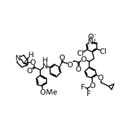 COc1ccc(C(Nc2cccc(C(=O)OCC(=O)OC(Cc3c(Cl)c[n+]([O-])cc3Cl)c3ccc(OC(F)F)c(OCC4CC4)c3)c2)C(=O)O[C@H]2CN3CCC2CC3)cc1